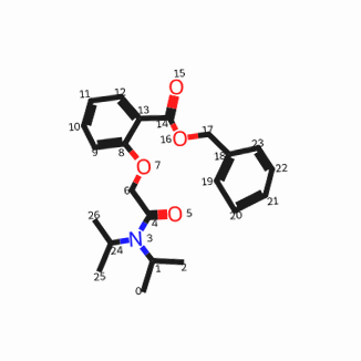 CC(C)N(C(=O)COc1ccccc1C(=O)OCc1ccccc1)C(C)C